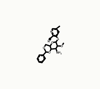 COC1C(Sc2cc(C)cnc2C#N)OC2COC(c3ccccc3)OC2C1N